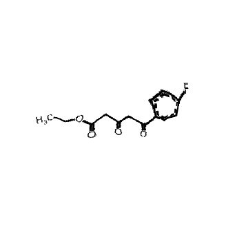 CCOC(=O)CC(=O)CC(=O)c1ccc(F)cc1